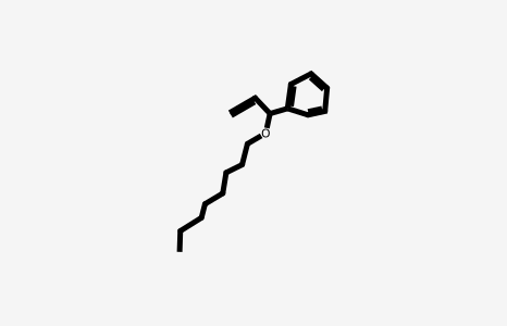 C=CC(OCCCCCCCC)c1ccccc1